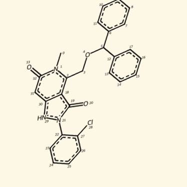 Cn1c(COC(c2ccccc2)c2ccccc2)c2c(=O)n(-c3ccccc3Cl)[nH]c2cc1=O